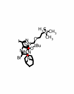 CC(C)(C)OC(=O)NC1CC2CCC(C1)N2c1nc2c(nc1Br)c(I)nn2COCC[Si](C)(C)C